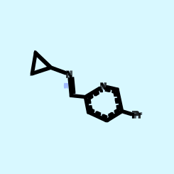 CC(C)c1ccc(/C=N/C2CC2)nc1